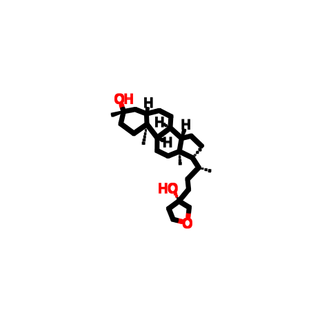 C[C@H](CC[C@]1(O)CCOC1)[C@H]1CC[C@H]2[C@@H]3CC[C@H]4C[C@@](C)(O)CC[C@]4(C)[C@H]3CC[C@]12C